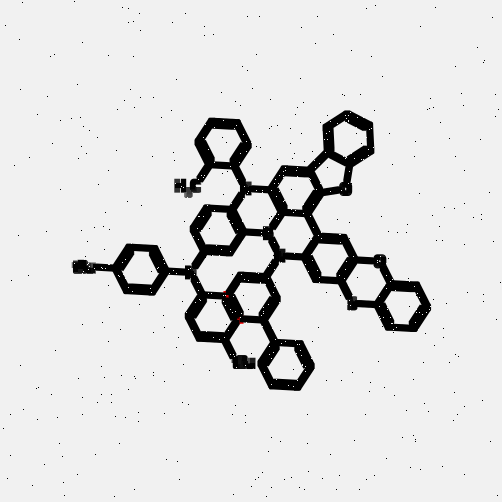 Cc1ccccc1N1c2ccc(N(c3ccc(C(C)(C)C)cc3)c3ccc(C(C)(C)C)cc3)cc2B2c3c1cc1c(oc4ccccc41)c3-c1cc3c(cc1N2c1cccc(-c2ccccc2)c1)Sc1ccccc1O3